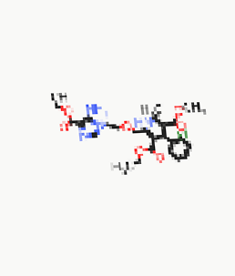 CCOC(=O)C1=C(COCCn2cnc(C(=O)OCC)c2N)NC(C)=C(C(=O)OC)C1c1ccccc1Cl